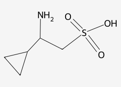 NC(CS(=O)(=O)O)C1CC1